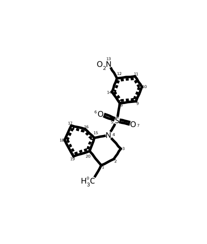 CC1CCN(S(=O)(=O)c2cccc([N+](=O)[O-])c2)c2ccccc21